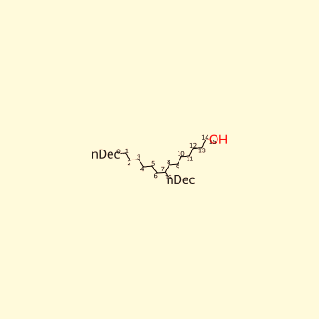 CCCCCCCCCCCCCCCCC(CCCCCCCO)CCCCCCCCCC